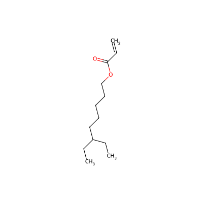 C=CC(=O)OCCCCCC(CC)CC